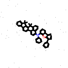 CC1(C)c2ccccc2-c2ccc3c(c21)C(C)(C)c1cccc2c(N(c4ccccc4)c4cccc5c4oc4c(-c6ccccc6)cccc45)ccc-3c12